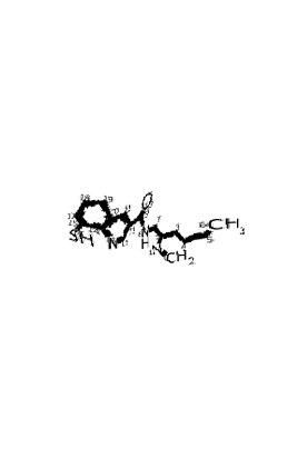 C=N/C(=C\C=C/C)CNC(=O)c1cnc2c(S)cccc2c1